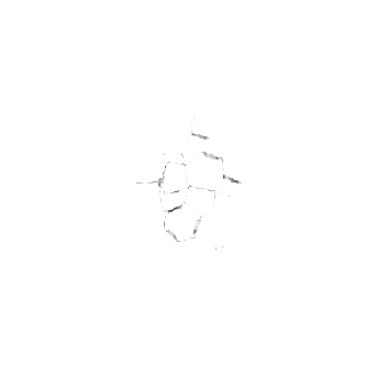 COc1ccc2c3c1O[C@H]1C(=O)C=C[C@@]4(OC(=O)C(F)(F)F)[C@@H](C2)N(C)CC[C@]314